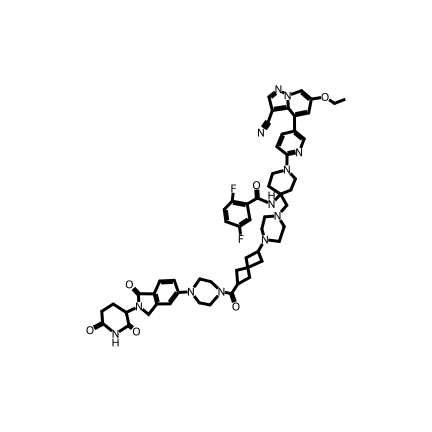 CCOc1cc(-c2ccc(N3CCC(CN4CCN(C5CC6(CC(C(=O)N7CCN(c8ccc9c(c8)CN(C8CCC(=O)NC8=O)C9=O)CC7)C6)C5)CC4)(NC(=O)c4cc(F)ccc4F)CC3)nc2)c2c(C#N)cnn2c1